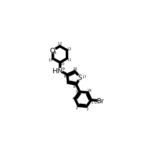 Brc1cccc(-c2cc(NC3CCCOC3)cs2)c1